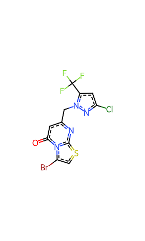 O=c1cc(Cn2nc(Cl)cc2C(F)(F)F)nc2scc(Br)n12